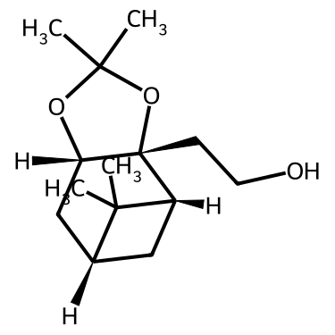 CC1(C)O[C@H]2C[C@H]3C[C@H](C3(C)C)[C@@]2(CCO)O1